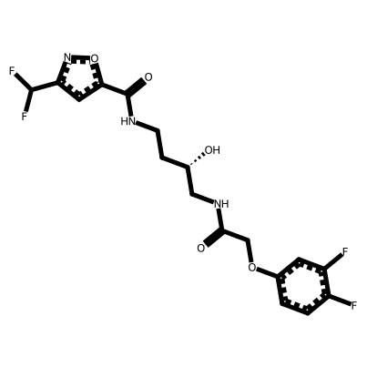 O=C(COc1ccc(F)c(F)c1)NC[C@@H](O)CCNC(=O)c1cc(C(F)F)no1